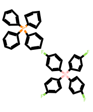 Fc1ccc([B-](c2ccc(F)cc2)(c2ccc(F)cc2)c2ccc(F)cc2)cc1.c1ccc([P+](c2ccccc2)(c2ccccc2)c2ccccc2)cc1